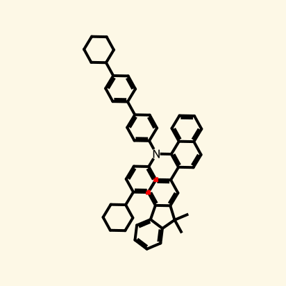 CC1(C)c2ccccc2-c2ccc(-c3ccc4ccccc4c3N(c3ccc(-c4ccc(C5CCCCC5)cc4)cc3)c3ccc(C4CCCCC4)cc3)cc21